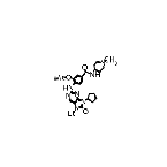 CCn1c(=O)n(C2CCCC2)c2nc(Nc3ccc(C(=O)NC4CCN(C)CC4)cc3OC)ncc21